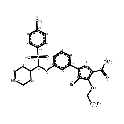 CCOC(=O)COc1c(C(=O)OC)sc(-c2cccc(OC(C3CCNCC3)S(=O)(=O)c3ccc(C)cc3)c2)c1Br